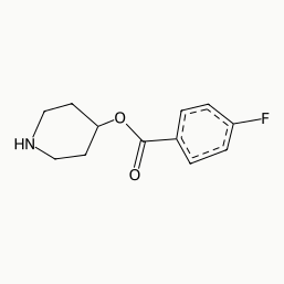 O=C(OC1CCNCC1)c1ccc(F)cc1